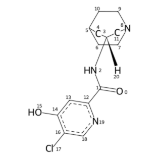 O=C(N[C@@H]1CC2CCN(CC2)C1)c1cc(O)c(Cl)cn1